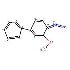 COC1C=C(c2ccccc2)C=CC1=[N+]=[N-]